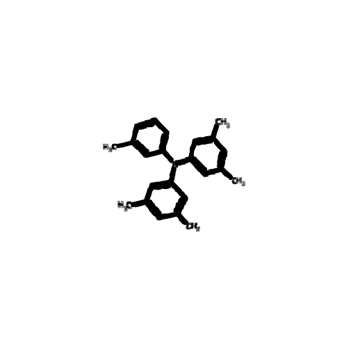 Cc1cccc(N(c2cc(C)cc(C)c2)c2cc(C)cc(C)c2)c1